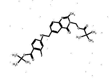 Cc1nc2ccc(CNc3ccc(C(=O)OC(C)(C)C)c(F)c3)cc2c(=O)n1COC(=O)C(C)(C)C